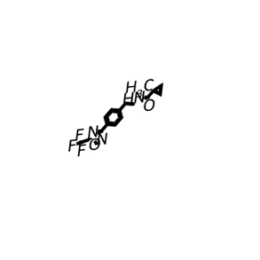 CC1(C(=O)NCCc2ccc(-c3noc(C(F)(F)F)n3)cc2)CC1